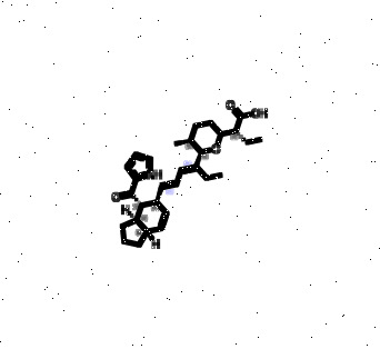 CC/C(=C\C=C\[C@H]1C=C[C@@H]2CCC[C@H]2[C@@H]1C(=O)c1ccc[nH]1)[C@@H]1OC([C@@H](CC)C(=O)O)CC[C@@H]1C